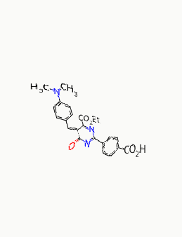 CCOC(=O)C1=NC(c2ccc(C(=O)O)cc2)=NC(=O)C1=Cc1ccc(N(C)C)cc1